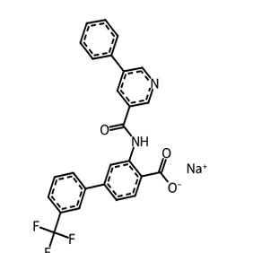 O=C(Nc1cc(-c2cccc(C(F)(F)F)c2)ccc1C(=O)[O-])c1cncc(-c2ccccc2)c1.[Na+]